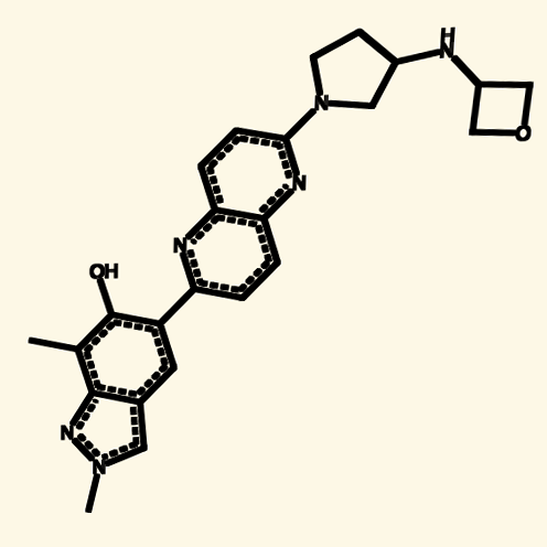 Cc1c(O)c(-c2ccc3nc(N4CCC(NC5COC5)C4)ccc3n2)cc2cn(C)nc12